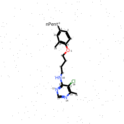 CCCCCc1ccc(OCCCCNc2ncnc(C)c2Cl)c(C)c1